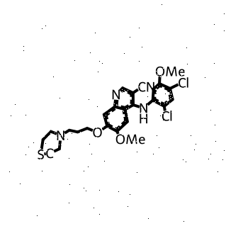 COc1cc(Nc2c(C#N)cnc3cc(OCCCN4CCSCC4)c(OC)cc23)c(Cl)cc1Cl